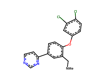 CNCc1cc(-c2ccncn2)ccc1Oc1ccc(Cl)c(Cl)c1